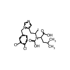 CC(C)CC(C(=O)O)N(C(=O)O)C(I)Cc1cncn1Cc1ccc(Cl)c(Cl)c1